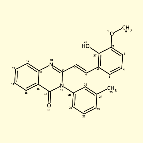 COc1cccc(C=Cc2nc3ccccc3c(=O)n2-c2cccc(C)c2)c1O